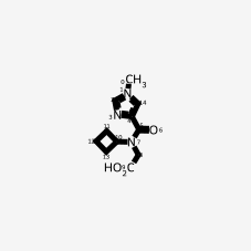 Cn1cnc(C(=O)N(CC(=O)O)C2CCC2)c1